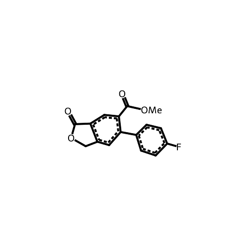 COC(=O)c1cc2c(cc1-c1ccc(F)cc1)COC2=O